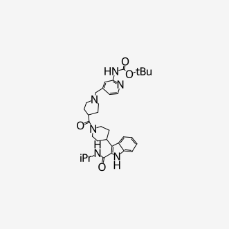 CC(C)NC(=O)c1[nH]c2ccccc2c1C1CCN(C(=O)C2CCN(Cc3ccnc(NC(=O)OC(C)(C)C)c3)CC2)CC1